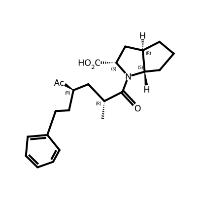 CC(=O)[C@H](CCc1ccccc1)C[C@@H](C)C(=O)N1[C@H](C(=O)O)C[C@H]2CCC[C@@H]21